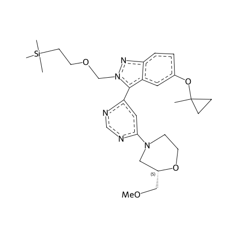 COC[C@@H]1CN(c2cc(-c3c4cc(OC5(C)CC5)ccc4nn3COCC[Si](C)(C)C)ncn2)CCO1